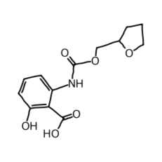 O=C(Nc1cccc(O)c1C(=O)O)OCC1CCCO1